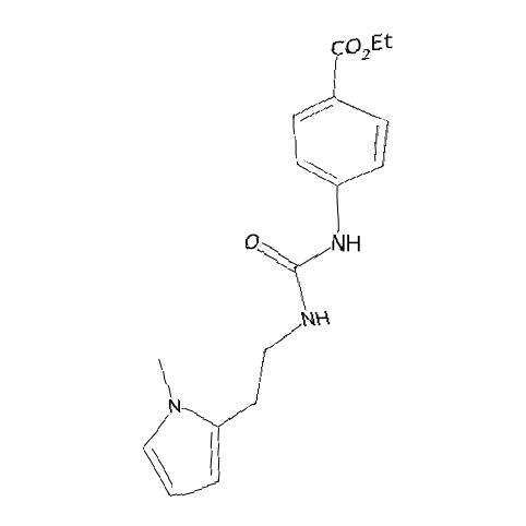 CCOC(=O)c1ccc(NC(=O)NCCc2cccn2C)cc1